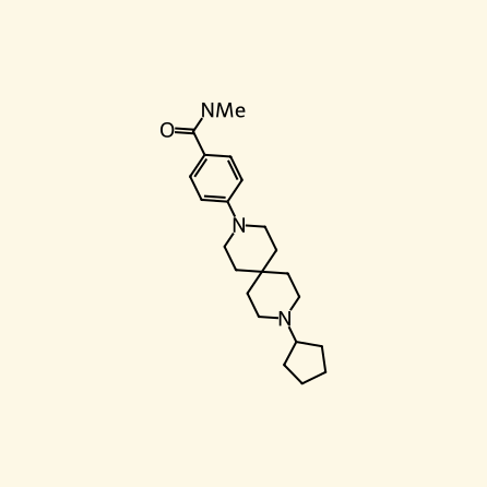 CNC(=O)c1ccc(N2CCC3(CC2)CCN(C2CCCC2)CC3)cc1